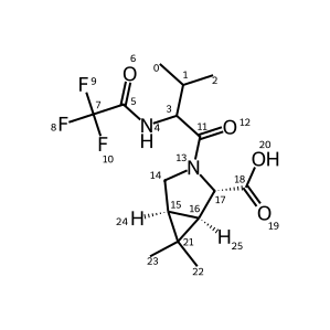 CC(C)C(NC(=O)C(F)(F)F)C(=O)N1C[C@H]2[C@@H]([C@H]1C(=O)O)C2(C)C